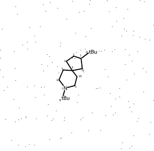 CC(C)(C)C1CCC2(CCN(C(C)(C)C)CC2)C1